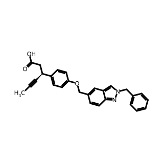 CC#C[C@@H](CC(=O)O)c1ccc(OCc2ccc3nn(Cc4ccccc4)cc3c2)cc1